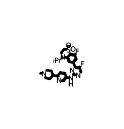 CC(C)N1CCS(=O)(=O)c2c(F)cc(-c3nc(Nc4ccc(C5CCN(C)CC5)nc4)ncc3F)cc21